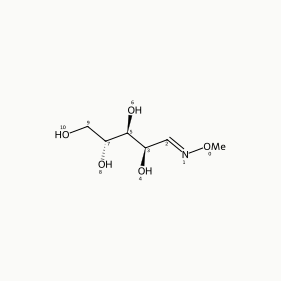 CO/N=C/[C@@H](O)[C@H](O)[C@H](O)CO